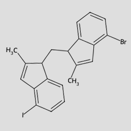 CC1=Cc2c(Br)cccc2C1CC1C(C)=Cc2c(I)cccc21